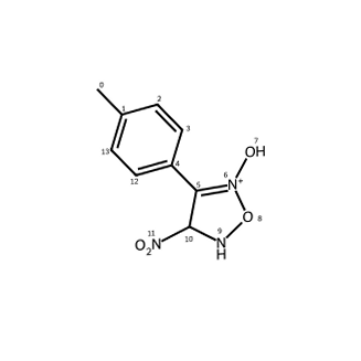 Cc1ccc(C2=[N+](O)ONC2[N+](=O)[O-])cc1